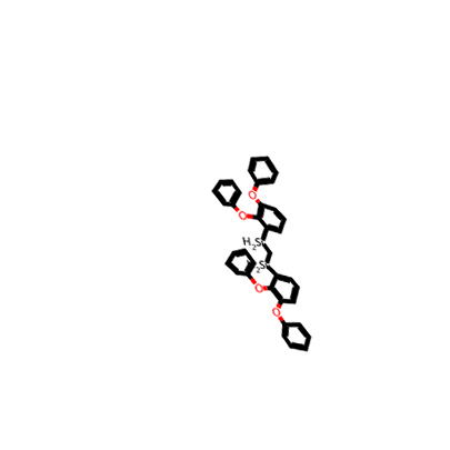 c1ccc(Oc2cccc([SiH2]C[SiH2]c3cccc(Oc4ccccc4)c3Oc3ccccc3)c2Oc2ccccc2)cc1